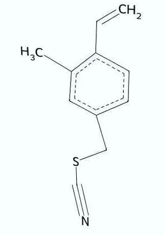 C=Cc1ccc(CSC#N)cc1C